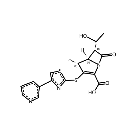 CC(O)[C@@H]1C(=O)N2C(C(=O)O)=C(Sc3nc(-c4cccnc4)cs3)[C@H](C)[C@@H]12